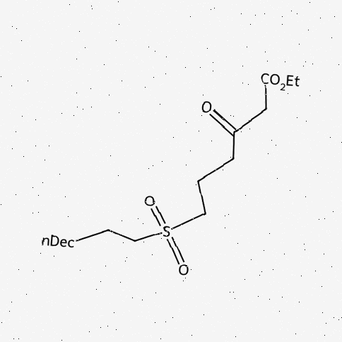 CCCCCCCCCCCCS(=O)(=O)CCCC(=O)CC(=O)OCC